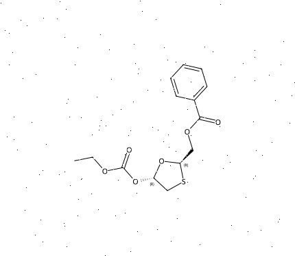 CCOC(=O)O[C@H]1CS[C@H](COC(=O)c2ccccc2)O1